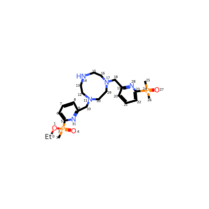 CCOP(C)(=O)c1cccc(CN2CCNCCN(Cc3cccc(P(C)(C)=O)n3)CC2)n1